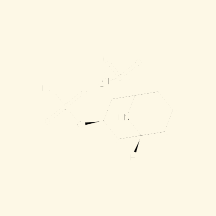 CS(=O)(=O)O[C@@H]1C[C@H]2CCC[C@@](S(=O)(=O)Cl)(N2)[C@H]1F